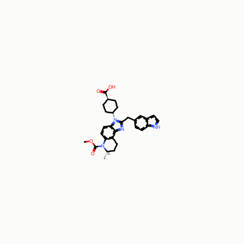 COC(=O)N1c2ccc3c(nc(Cc4ccc5[nH]ccc5c4)n3[C@H]3CC[C@H](C(=O)O)CC3)c2CC[C@@H]1C